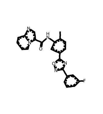 Cc1ccc(-c2nc(-c3cccc(F)c3)no2)cc1NC(=O)c1cnc2ccccn12